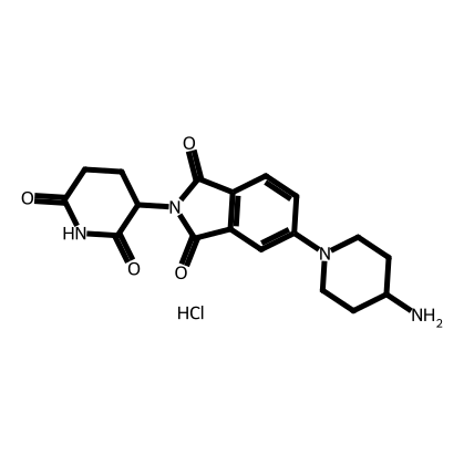 Cl.NC1CCN(c2ccc3c(c2)C(=O)N(C2CCC(=O)NC2=O)C3=O)CC1